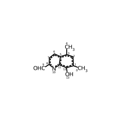 Cc1cc(C)c2ccc(C=O)nc2c1O